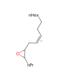 CCCCCCCC/C=C\CC1OC1CCC